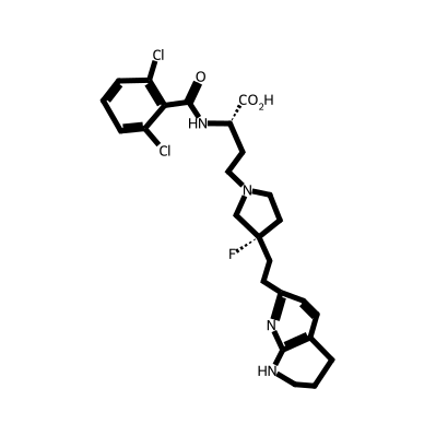 O=C(N[C@@H](CCN1CC[C@@](F)(CCc2ccc3c(n2)NCCC3)C1)C(=O)O)c1c(Cl)cccc1Cl